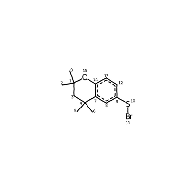 CC1(C)CC(C)(C)c2cc(SBr)ccc2O1